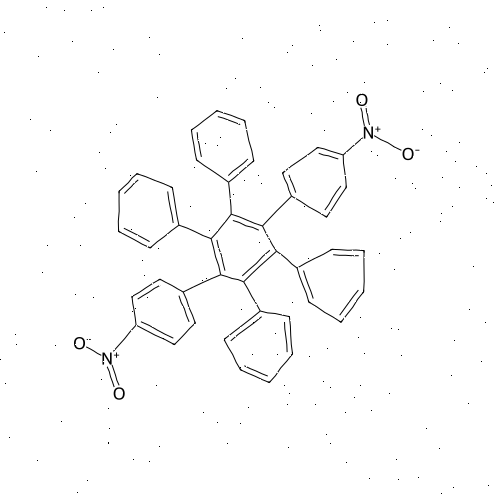 O=[N+]([O-])c1ccc(-c2c(-c3ccccc3)c(-c3ccccc3)c(-c3ccc([N+](=O)[O-])cc3)c(-c3ccccc3)c2-c2ccccc2)cc1